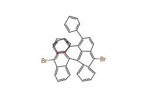 Brc1c2ccccc2c(-c2c3ccccc3c(Br)c3ccc(-c4ccccc4)c(-c4ccccc4)c23)c2ccccc12